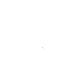 Cc1cccc(Cl)c1NC(=O)N=C1NCCN1